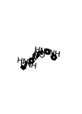 N=C(Nc1ccc(N2CCN(CC(=O)Nc3ccc(Nc4ccccc4)cc3)CC2)cc1)c1cccs1